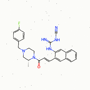 C[C@@H]1CN(Cc2ccc(F)cc2)CCN1C(=O)/C=C/c1cc2ccccc2cc1NC(=N)NC#N